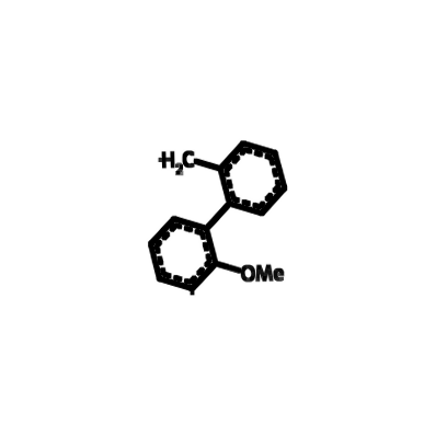 [CH2]c1ccccc1-c1ccc[c]c1OC